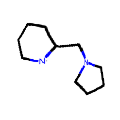 C1CCC(CN2CCCC2)[N]C1